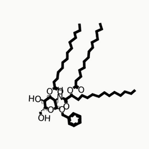 CCCCCCCCCCCCCC(=O)OC(CCCCCCCCCCCC)C(=O)N[C@H]1[C@H](OCc2ccccc2)O[C@H](CO)[C@@H](O)[C@@H]1OC(=O)CCCCCCCCCCCCC